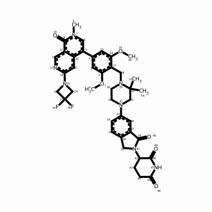 COc1cc(-c2cn(C)c(=O)c3cnc(N4CC(F)(F)C4)cc23)cc(OC)c1CN1CCN(c2ccc3c(c2)C(=O)N(C2CCC(=O)NC2=O)C3)CC1(C)C